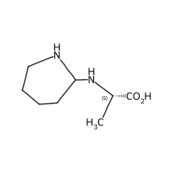 C[C@H](NC1CCCCN1)C(=O)O